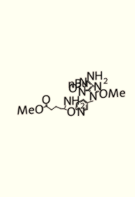 CCCCOc1nc(N)c2nc(OC)n(Cc3ccc(OC(N)CCCC(=O)OC)nc3)c2n1